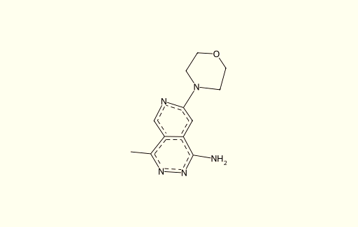 Cc1nnc(N)c2cc(N3CCOCC3)ncc12